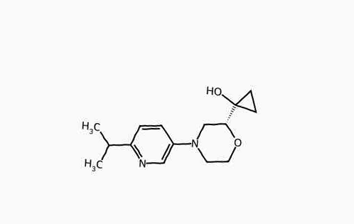 CC(C)c1ccc(N2CCO[C@@H](C3(O)CC3)C2)cn1